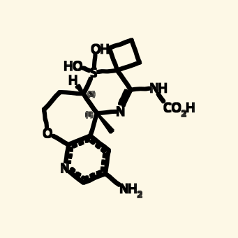 C[C@]12N=C(NC(=O)O)C3(CCC3)S(O)(O)[C@H]1CCOc1ncc(N)cc12